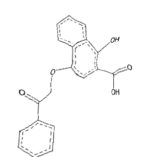 O=C(COc1cc(C(=O)O)c(O)c2ccccc12)c1ccccc1